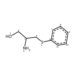 NC(CO)CSc1ccccc1